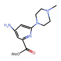 COC(=O)c1cc(N)cc(N2CCN(C)CC2)n1